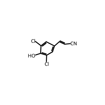 N#C/C=C/c1cc(Cl)c(O)c(Cl)c1